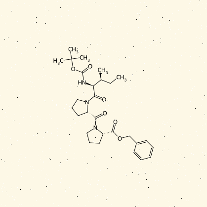 CC[C@H](C)[C@H](NC(=O)OC(C)(C)C)C(=O)N1CCC[C@H]1C(=O)N1CCC[C@H]1C(=O)OCc1ccccc1